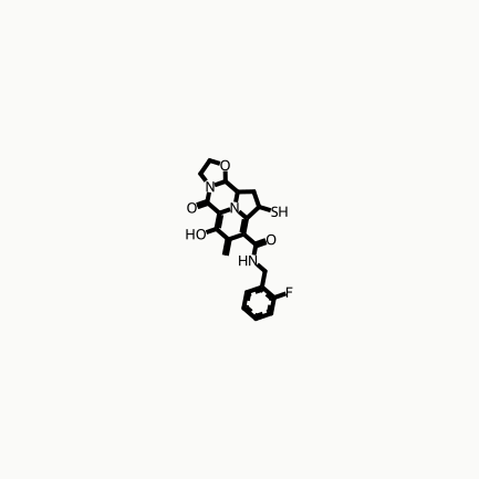 C=C1C(O)=C2C(=O)N3CCOC3C3CC(S)C(=C1C(=O)NCc1ccccc1F)N23